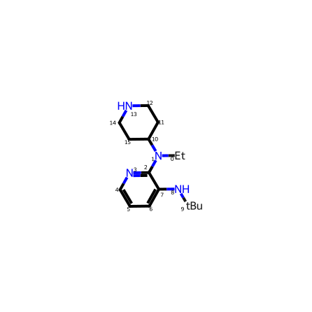 CCN(c1ncccc1NC(C)(C)C)C1CCNCC1